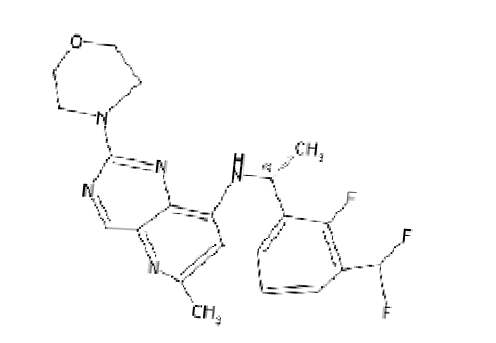 Cc1cc(N[C@H](C)c2cccc(C(F)F)c2F)c2nc(N3CCOCC3)ncc2n1